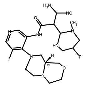 CN1CC(F)CNC1C(C(=O)Nc1cncc(F)c1N1CCN2CCOC[C@H]2C1)C(N)N=O